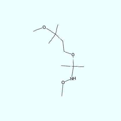 CONC(C)(C)OCCC(C)(C)OC